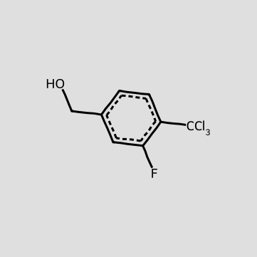 OCc1ccc(C(Cl)(Cl)Cl)c(F)c1